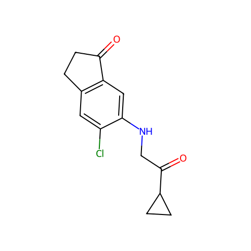 O=C1CCc2cc(Cl)c(NCC(=O)C3CC3)cc21